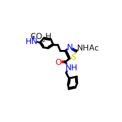 CC(=O)Nc1nc(CCc2ccc(NC(=O)O)cc2)c(C(=O)NCc2ccccc2)s1